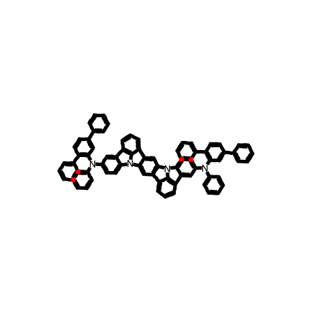 c1ccc(-c2ccc(-c3ccccc3)c(N(c3ccccc3)c3ccc4c(c3)c3cccc5c6cc7c(cc6n4c35)c3cccc4c5cc(N(c6ccccc6)c6cc(-c8ccccc8)ccc6-c6ccccc6)ccc5n7c43)c2)cc1